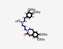 CCCN(CCCN1CCc2cc(OC)c(OC)cc2CC1=O)CCc1ccc(OC)c(OC)c1